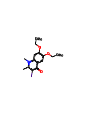 COCOc1cc2c(=O)c(I)c(C)n(C)c2cc1OCOC